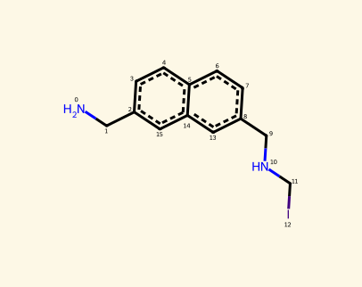 NCc1ccc2ccc(CNCI)cc2c1